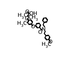 COc1ccc(CCN(CCc2ccccc2)C(=O)c2cccc(Oc3ccc(OC(C)(C)C(=O)O)c(C)c3)c2)cc1